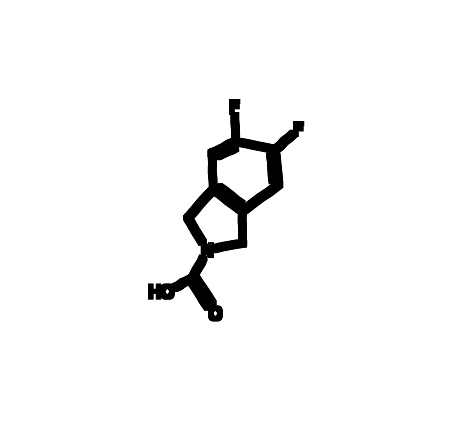 O=C(O)N1Cc2cc(F)c(F)cc2C1